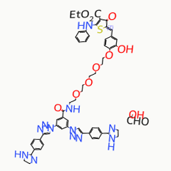 CCOC(=O)C1=C(Nc2ccccc2)S/C(=C\c2ccc(OCCOCCOCCOCCNC(=O)c3cc(-n4cc(-c5ccc(C6=NCCN6)cc5)nn4)cc(-n4cc(-c5ccc(C6=NCCN6)cc5)nn4)c3)c(O)c2)C1=O.O=CO